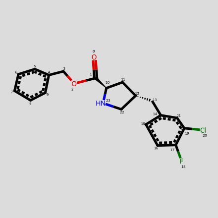 O=C(OCc1ccccc1)[C@H]1C[C@H](Cc2ccc(F)c(Cl)c2)CN1